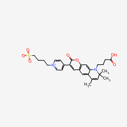 CC1=CC(C)(C)N(CCCC(=O)O)c2cc3oc(=O)c(-c4cc[n+](CCCCS(=O)(=O)[O-])cc4)cc3cc21